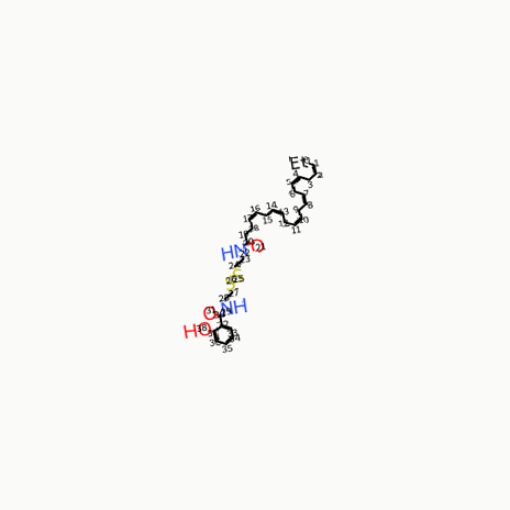 CC/C=C\C/C=C\C/C=C\C/C=C\C/C=C\C/C=C\CCC(=O)NCCSSCCNC(=O)c1ccccc1O